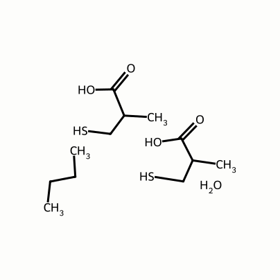 CC(CS)C(=O)O.CC(CS)C(=O)O.CCCC.O